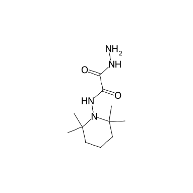 CC1(C)CCCC(C)(C)N1NC(=O)C(=O)NN